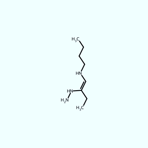 CCCCN/C=C(/CC)NN